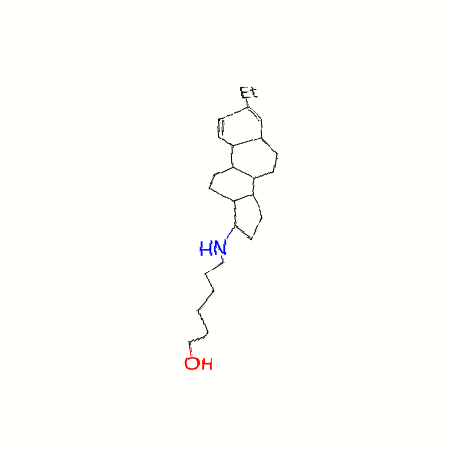 CCC1=CC2CCC3C(CCC4C(NCCCCCCO)CCC43)C2C=C1